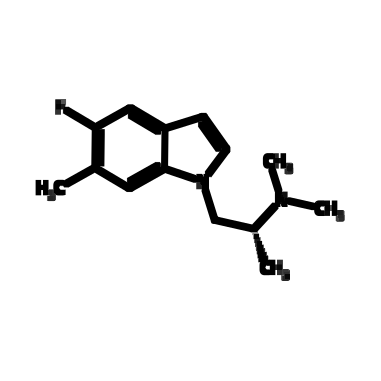 Cc1cc2c(ccn2C[C@@H](C)N(C)C)cc1F